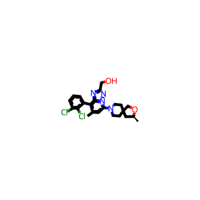 Cc1cc(N2CCC3(CC2)CO[C@@H](C)C3)n2nc(CO)nc2c1-c1cccc(Cl)c1Cl